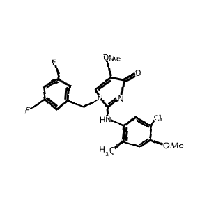 COc1cc(C)c(Nc2nc(=O)c(OC)cn2Cc2cc(F)cc(F)c2)cc1Cl